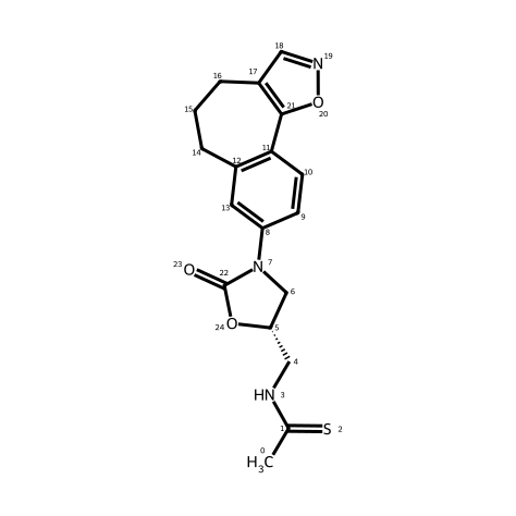 CC(=S)NC[C@H]1CN(c2ccc3c(c2)CCCc2cnoc2-3)C(=O)O1